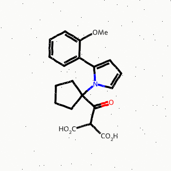 COc1ccccc1-c1cccn1C1(C(=O)C(C(=O)O)C(=O)O)CCCC1